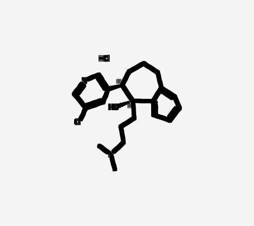 CN(C)CCC[C@]1(O)c2ccccc2CCC[C@@H]1c1cncc(Cl)c1.Cl